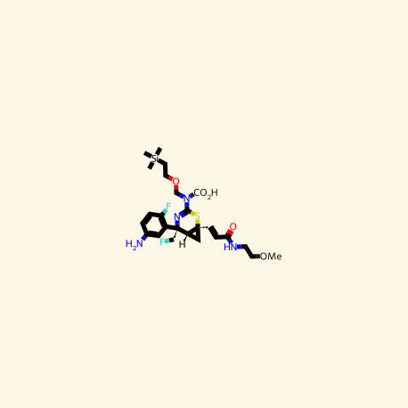 COCCNC(=O)/C=C/[C@]12C[C@H]1[C@@](CF)(c1cc(N)ccc1F)N=C(N(COCC[Si](C)(C)C)C(=O)O)S2